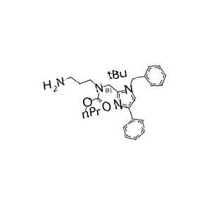 CCCOC(=O)N(CCCN)[C@@H](c1nc(-c2ccccc2)cn1Cc1ccccc1)C(C)(C)C